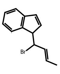 CC=CC(Br)C1C=Cc2ccc[c]c21